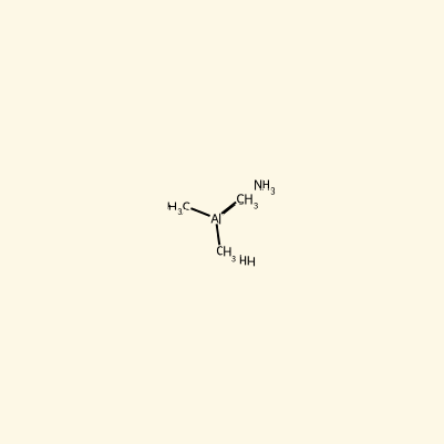 N.[CH3][Al]([CH3])[CH3].[HH]